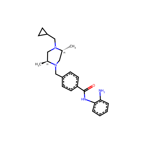 C[C@@H]1CN(Cc2ccc(C(=O)Nc3ccccc3N)cc2)[C@@H](C)CN1CC1CC1